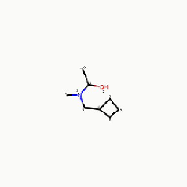 [CH2]C(O)N(C)CC1CCC1